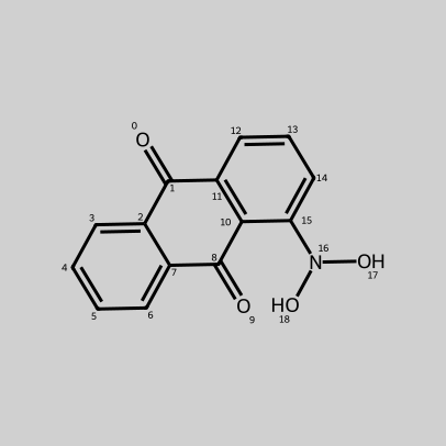 O=C1c2ccccc2C(=O)c2c1cccc2N(O)O